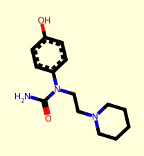 NC(=O)N(CCN1CCCCC1)c1ccc(O)cc1